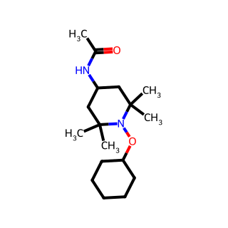 CC(=O)NC1CC(C)(C)N(OC2CCCCC2)C(C)(C)C1